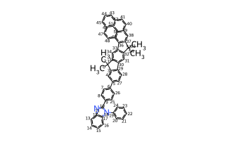 CC1(C)c2cc(-c3ccc(-c4nc5ccccc5n4-c4ccccc4)cc3)ccc2-c2cc3c(cc21)-c1c(cc2ccc4cccc5ccc1c2c45)C3(C)C